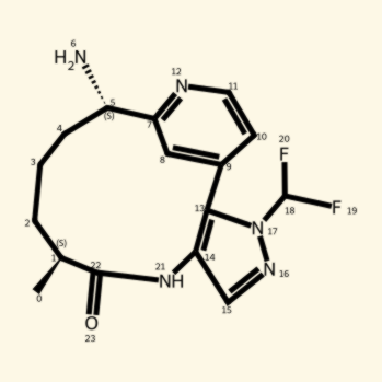 C[C@H]1CCC[C@H](N)c2cc(ccn2)-c2c(cnn2C(F)F)NC1=O